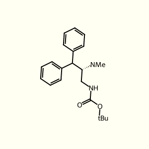 CN[C@H](CNC(=O)OC(C)(C)C)C(c1ccccc1)c1ccccc1